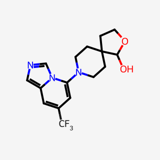 OC1OCCC12CCN(c1cc(C(F)(F)F)cc3cncn13)CC2